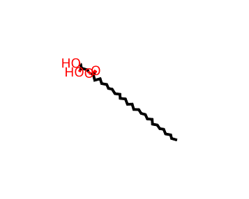 CCCCCCCCCCCCCCCCCCCCCCCCCCC(=O)OCC(O)CO